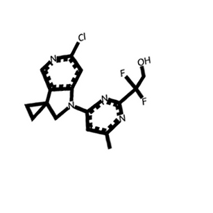 Cc1cc(N2CC3(CC3)c3cnc(Cl)cc32)nc(C(F)(F)CO)n1